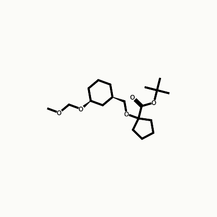 COCO[C@H]1CCC[C@@H](COC2(C(=O)OC(C)(C)C)CCCC2)C1